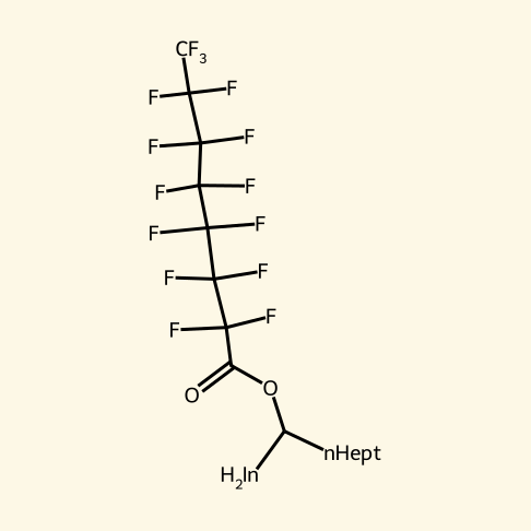 CCCCCCC[CH]([InH2])OC(=O)C(F)(F)C(F)(F)C(F)(F)C(F)(F)C(F)(F)C(F)(F)C(F)(F)F